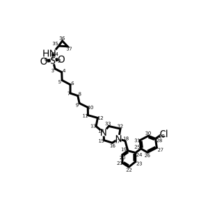 O=S(=O)(CCCCCCCCCCCN1CCN(Cc2ccccc2-c2ccc(Cl)cc2)CC1)NC1CC1